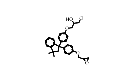 CC1(C)CC(c2ccc(OCC(O)CCl)cc2)(c2ccc(OCC3CO3)cc2)c2ccccc21